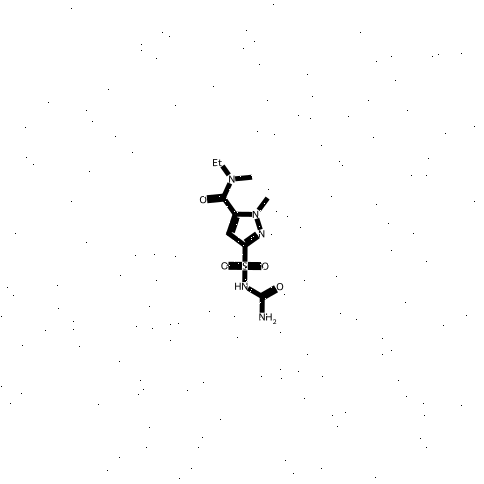 CCN(C)C(=O)c1cc(S(=O)(=O)NC(N)=O)nn1C